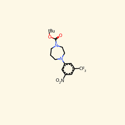 CC(C)(C)OC(=O)N1CCCN(c2cc([N+](=O)[O-])cc(C(F)(F)F)c2)CC1